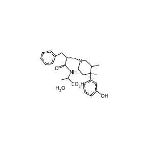 CC(NC(=O)C(Cc1ccccc1)CN1CCC(C)(c2cccc(O)c2)C(C)C1)C(=O)O.O